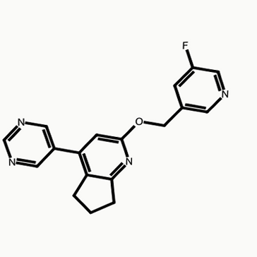 Fc1cncc(COc2cc(-c3cncnc3)c3c(n2)CCC3)c1